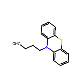 O=CCCCN1c2ccccc2Sc2ccccc21